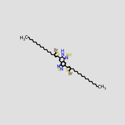 CCCCCCCCCCCCCCCc1cc(C2=Cc3c(cc(-c4cc(CCCCCCCCCCCCCCC)c(Br)s4)c4nsnc34)/C(=N/S)C2=N)sc1Br